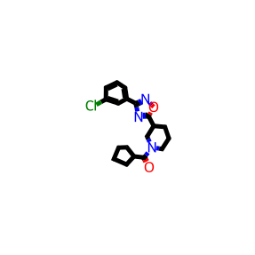 O=C(C1CCCC1)N1CCCC(c2nc(-c3cccc(Cl)c3)no2)C1